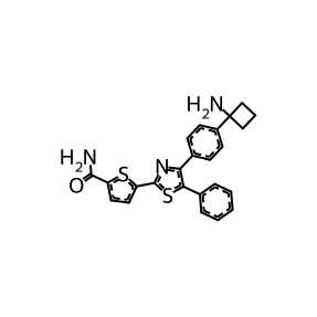 NC(=O)c1ccc(-c2nc(-c3ccc(C4(N)CCC4)cc3)c(-c3ccccc3)s2)s1